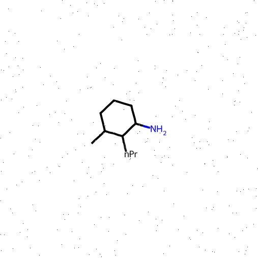 CCCC1C(C)CCCC1N